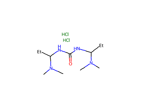 CCC(NC(=O)NC(CC)N(C)C)N(C)C.Cl.Cl